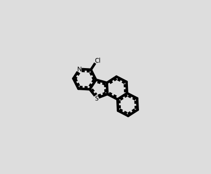 Clc1nccc2sc3c4ccccc4ccc3c12